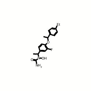 CCc1ccc(C(C)Oc2ccc(C(C)N(O)C(N)=O)cc2F)cc1